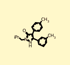 Cc1ccc(-c2c(-c3cccc(C)c3)[nH]n(CC(C)C)c2=O)cc1